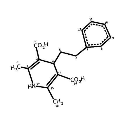 CC1=C(C(=O)O)C(CCc2ccccc2)C(C(=O)O)=C(C)N1